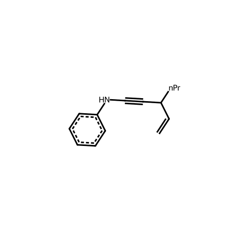 C=CC(C#CNc1ccccc1)CCC